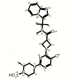 C[C@H]1CN(c2ncc(Cl)c(N3CC(C(=O)N(C)C(C)(C)c4cnc5ccccn45)C3)n2)CCN1C(=O)O